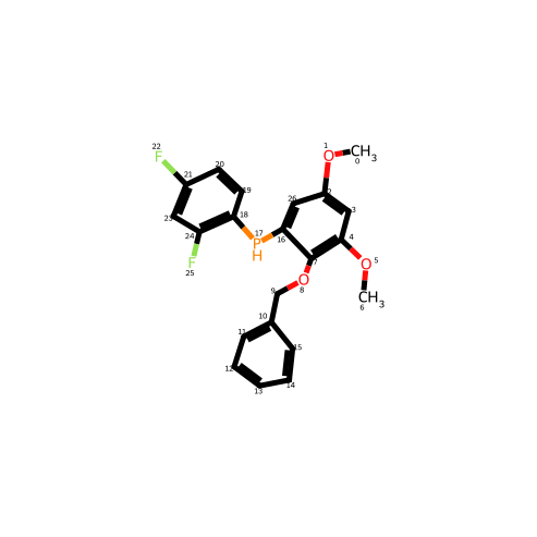 COc1cc(OC)c(OCc2ccccc2)c(Pc2ccc(F)cc2F)c1